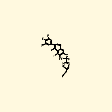 CCCc1cnc(C(F)(F)Oc2cc3ccc(-c4cc(F)c(F)c(F)c4)c(F)c3c(F)c2F)nc1